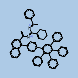 C=C(/N=C(\N=C(/C)c1ccccc1)C1=CCCCC1)c1ccc2ccccc2c1-c1ccc(-c2cc(-c3ccccc3)c(-c3ccccc3)c(-c3ccccc3)c2-c2ccccc2)cc1